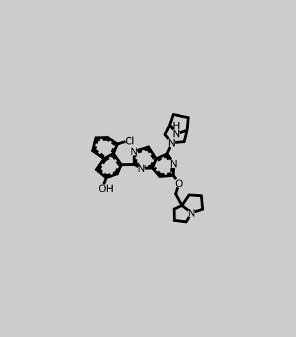 Oc1cc(-c2ncc3c(N4CC5CCC(C4)N5)nc(OCC45CCCN4CCC5)cc3n2)c2c(Cl)cccc2c1